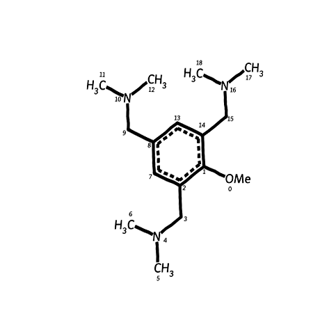 COc1c(CN(C)C)cc(CN(C)C)cc1CN(C)C